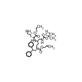 C=CCOC(=O)[C@@H](CCCN)NC(CCN(CC(c1ccccc1)c1ccccc1)C(=O)OCC=C)CNC(=O)OC(C)(C)C